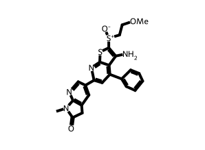 COCC[S+]([O-])c1sc2nc(-c3cnc4c(c3)CC(=O)N4C)cc(-c3ccccc3)c2c1N